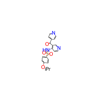 CC(C)Oc1ccc(S(=O)(=O)Nc2ccncc2C(=O)c2ccncc2)cc1